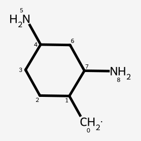 [CH2]C1CCC(N)CC1N